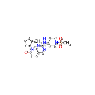 C[C@H]1CCC[C@H]1N1C(=O)CCc2cnc(NC3CCN(S(C)(=O)=O)CC3)nc21